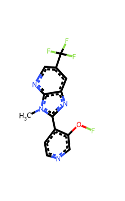 Cn1c(-c2ccncc2OF)nc2cc(C(F)(F)F)cnc21